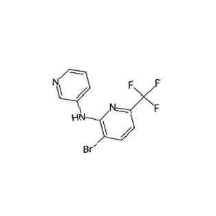 FC(F)(F)c1ccc(Br)c(Nc2cccnc2)n1